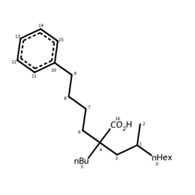 CCCCCCC(C)CC(CCCC)(CCCCc1ccccc1)C(=O)O